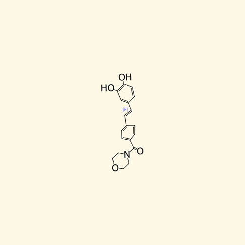 O=C(c1ccc(/C=C/c2ccc(O)c(O)c2)cc1)N1CCOCC1